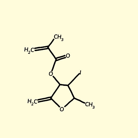 C=C(C)C(=O)OC1C(=C)OC(C)C1I